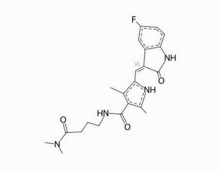 Cc1[nH]c(/C=C2\C(=O)Nc3ccc(F)cc32)c(C)c1C(=O)NCCCC(=O)N(C)C